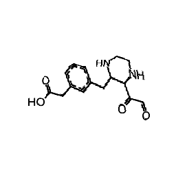 O=CC(=O)C1NCCNC1Cc1cccc(CC(=O)O)c1